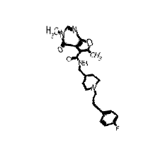 Cc1oc2ncn(C)c(=O)c2c1C(=O)NCC1CCN(CCc2ccc(F)cc2)CC1